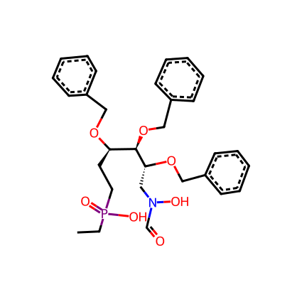 CCP(=O)(O)CC[C@@H](OCc1ccccc1)[C@@H](OCc1ccccc1)[C@@H](CN(O)C=O)OCc1ccccc1